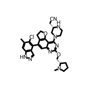 Cc1cc2[nH]ncc2c(-c2cc3nc(OC[C@@H]4CCCN4C)nc(N4CCN[C@@H](CC#N)C4)c3c3c2CCO3)c1Cl